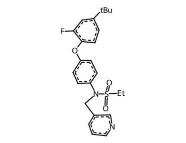 CCS(=O)(=O)N(Cc1cccnc1)c1ccc(Oc2ccc(C(C)(C)C)cc2F)cc1